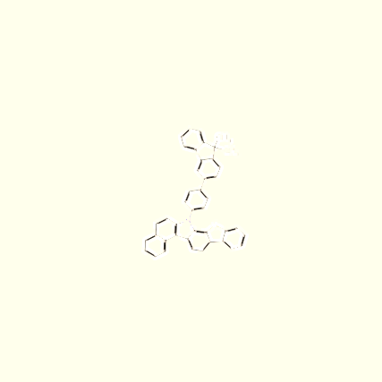 CC1(C)c2ccccc2-c2cc(-c3ccc(-n4c5ccc6ccccc6c5c5ccc6c7ccccc7sc6c54)cc3)ccc21